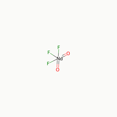 [O]=[Nd](=[O])([F])([F])[F]